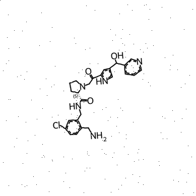 NCc1ccc(Cl)cc1CNC(=O)[C@@H]1CCCN1CC(=O)c1cc(C(O)c2cccnc2)c[nH]1